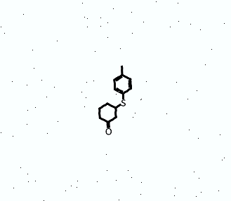 Cc1ccc(SC2CCCC(=O)C2)cc1